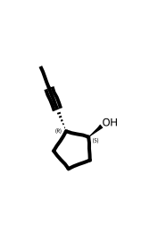 CC#C[C@H]1CCC[C@@H]1O